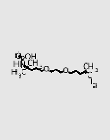 C[C](C)CCCOCCCOCCCC(C)(C)N[PH](=O)O